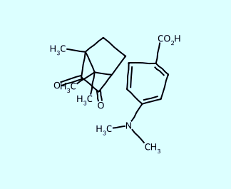 CC12CCC(C(=O)C1=O)C2(C)C.CN(C)c1ccc(C(=O)O)cc1